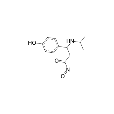 CC(C)NC(CC(=O)N=O)c1ccc(O)cc1